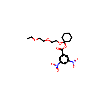 CCOCCOCCOC1(OC(=O)c2cc([N+](=O)[O-])cc([N+](=O)[O-])c2)CCCCC1